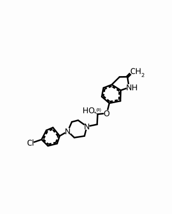 C=C1Cc2ccc(O[C@@H](O)CN3CCN(c4ccc(Cl)cc4)CC3)cc2N1